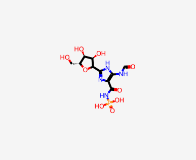 O=CNc1[nH]c(C2O[C@H](CO)[C@@H](O)[C@H]2O)nc1C(=O)NP(=O)(O)O